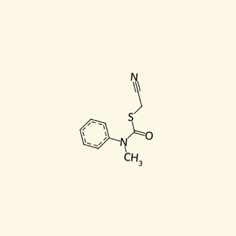 CN(C(=O)SCC#N)c1ccccc1